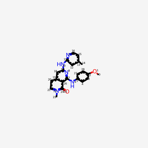 COc1ccc(Nc2nc(Nc3cc(C)ccn3)cc3ccn(C)c(=O)c23)cc1